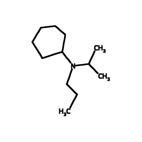 CCCN(C(C)C)C1CCCCC1